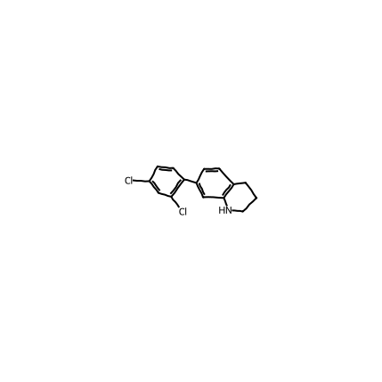 Clc1ccc(-c2ccc3c(c2)NCCC3)c(Cl)c1